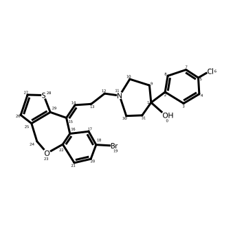 OC1(c2ccc(Cl)cc2)CCN(CCC=C2c3cc(Br)ccc3OCc3ccsc32)CC1